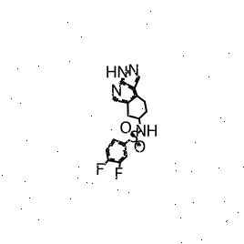 O=S(=O)(NC1CCc2c(cnc3[nH]ncc23)C1)c1ccc(F)c(F)c1